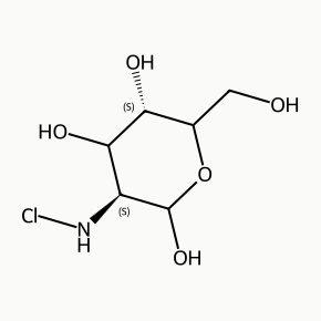 OCC1OC(O)[C@@H](NCl)C(O)[C@@H]1O